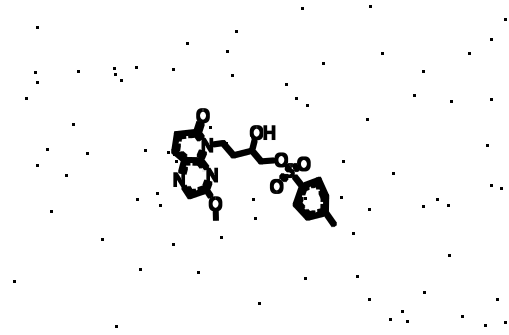 COc1cnc2ccc(=O)n(CCC(O)COS(=O)(=O)c3ccc(C)cc3)c2n1